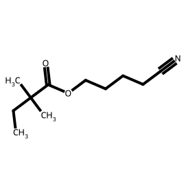 CCC(C)(C)C(=O)OCCCCC#N